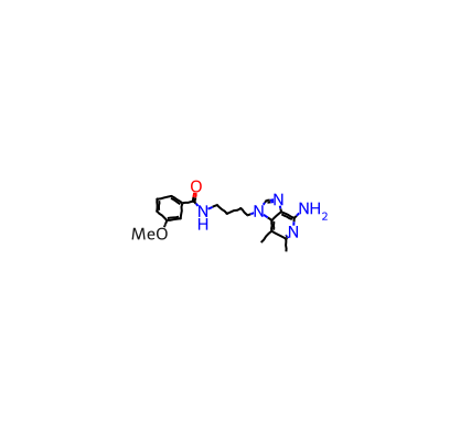 COc1cccc(C(=O)NCCCCn2cnc3c(N)nc(C)c(C)c32)c1